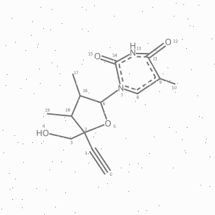 C#CC1(CO)OC(n2cc(C)c(=O)[nH]c2=O)C(C)C1C